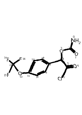 NC(=O)OC(C(=O)Cl)c1ccc(OC(F)(F)F)cc1